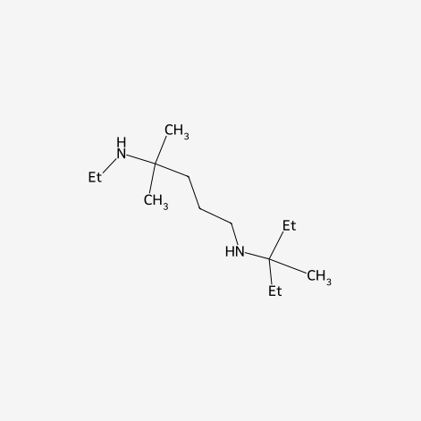 CCNC(C)(C)CCCNC(C)(CC)CC